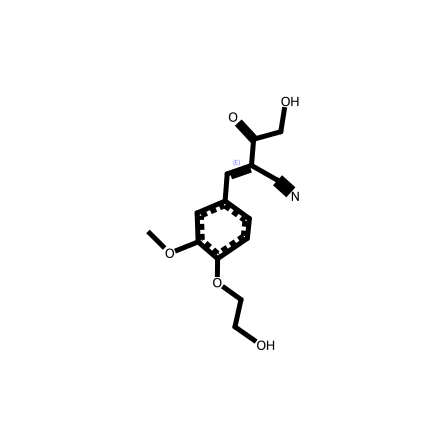 COc1cc(/C=C(\C#N)C(=O)CO)ccc1OCCO